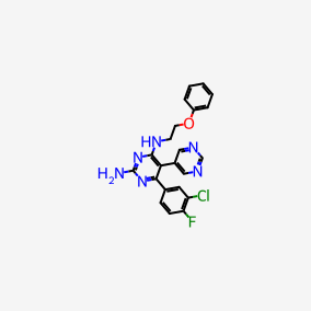 Nc1nc(NCCOc2ccccc2)c(-c2cncnc2)c(-c2ccc(F)c(Cl)c2)n1